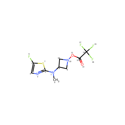 CN(c1ncc(F)s1)C1CN(OC(=O)C(F)(F)F)C1